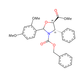 COC(=O)[C@@H]1OC(c2ccc(OC)cc2OC)N(C(=O)OCc2ccccc2)[C@H]1c1ccccc1